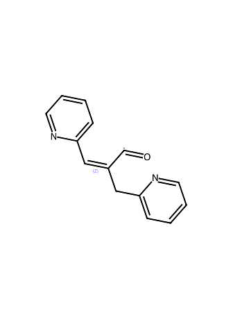 O=[C]/C(=C\c1ccccn1)Cc1ccccn1